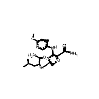 COc1ccc(Nc2nc(NC(CC(C)C)C(N)=O)cnc2C(N)=O)cn1